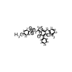 Cc1ccc(S(=O)(=O)OCC2CSc3c(Cc4ccccc4)c(C)c(-c4ccccc4)c(=O)n32)cc1